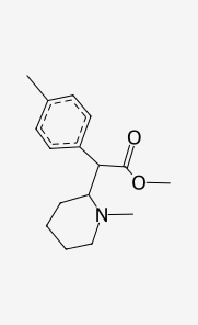 COC(=O)C(c1ccc(C)cc1)C1CCCCN1C